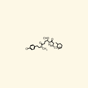 CN(CCc1ccc(Cl)cc1)C(=O)CC[C@@H](C=O)NC(=O)[C@H](CC1CCCCC1)NC(=O)O